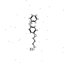 CCSCCCOc1ccc(Oc2ccccc2)cc1